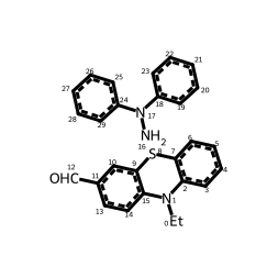 CCN1c2ccccc2Sc2cc(C=O)ccc21.NN(c1ccccc1)c1ccccc1